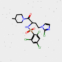 CC1CCN(C(=O)C(CCn2ccnc2Cl)NS(=O)(=O)c2c(Cl)cc(Cl)cc2Cl)CC1